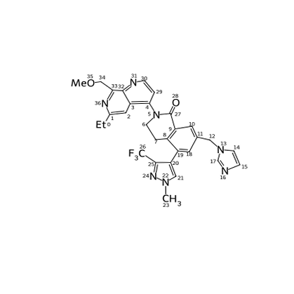 CCc1cc2c(N3CCc4c(cc(Cn5ccnc5)cc4-c4cn(C)nc4C(F)(F)F)C3=O)ccnc2c(COC)n1